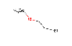 CCCC[O][GeH3]